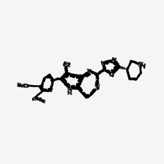 CCc1c(-c2ccc(OC)c(OC)c2)[nH]c2cnc(-c3nnc([C@H]4CCCNC4)o3)nc12